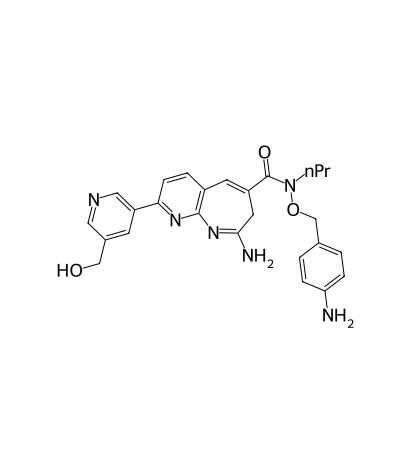 CCCN(OCc1ccc(N)cc1)C(=O)C1=Cc2ccc(-c3cncc(CO)c3)nc2N=C(N)C1